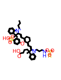 CCCC[N+]1=C(/C=C/C2=C(Oc3ccc(S(=O)(=O)O)cc3)C(=C/C=C3/N(CCCNO[SH](=O)=O)c4ccccc4C3(C)CCCC(=O)O)/CCC2)C(C)(C)c2ccccc21